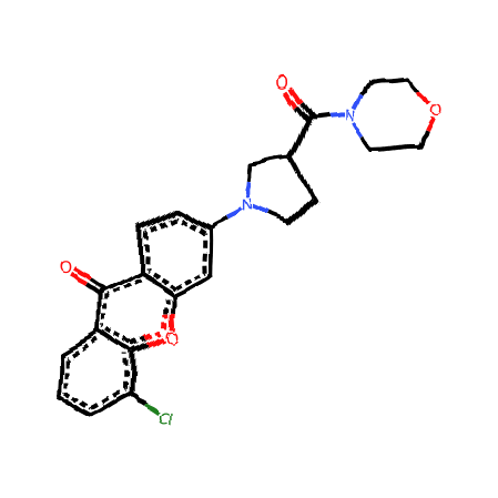 O=C(C1CCN(c2ccc3c(=O)c4cccc(Cl)c4oc3c2)C1)N1CCOCC1